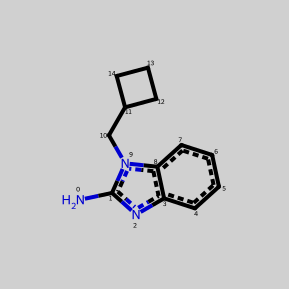 Nc1nc2ccccc2n1CC1CCC1